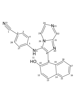 N#Cc1ccc(Nc2c(-c3c(O)ccc4ccccc34)nc3cnccn23)cc1